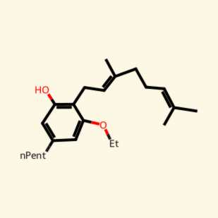 CCCCCc1cc(O)c(C/C=C(\C)CCC=C(C)C)c(OCC)c1